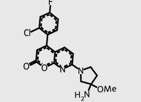 COC1(N)CCN(c2ccc3c(-c4ccc(F)cc4Cl)cc(=O)oc3n2)C1